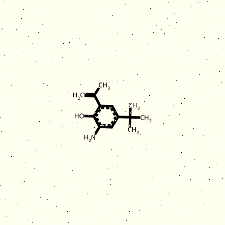 C=C(C)c1cc(C(C)(C)C)cc(N)c1O